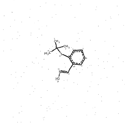 CC(C)(C)Sc1ccccc1C=NO